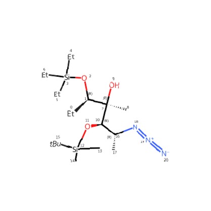 CC[C@@H](O[Si](CC)(CC)CC)[C@@](C)(O)[C@H](O[Si](C)(C)C(C)(C)C)[C@@H](C)N=[N+]=[N-]